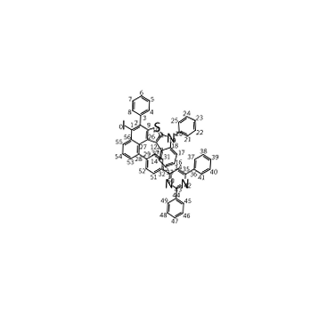 Ic1c(-c2ccccc2)c2sc3c(c4ccccc4n3-c3ccccc3)c2c2c(-c3ccc(-c4cc(-c5ccccc5)nc(-c5ccccc5)n4)cc3)cccc12